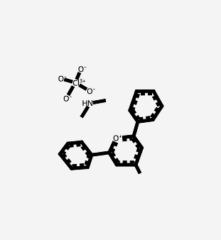 CNC.Cc1cc(-c2ccccc2)[o+]c(-c2ccccc2)c1.[O-][Cl+3]([O-])([O-])[O-]